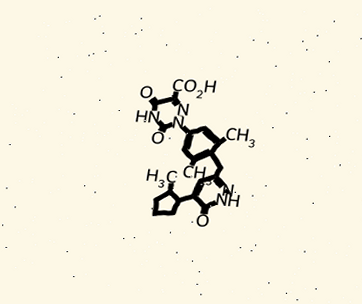 Cc1cc(-n2nc(C(=O)O)c(=O)[nH]c2=O)cc(C)c1Cc1cc(C2CCCC2C)c(=O)[nH]n1